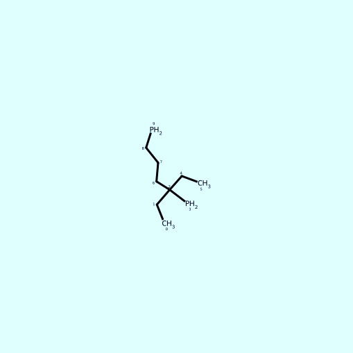 CCC(P)(CC)CCCP